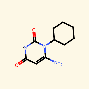 NC1=CC(=O)[N]C(=O)N1C1CCCCC1